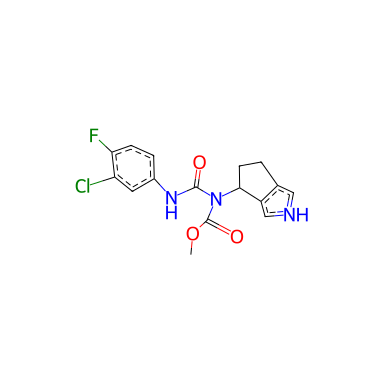 COC(=O)N(C(=O)Nc1ccc(F)c(Cl)c1)C1CCc2c[nH]cc21